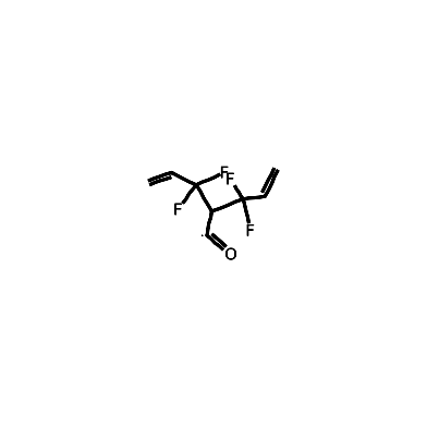 C=CC(F)(F)C([C]=O)C(F)(F)C=C